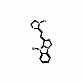 CCN1CCSC1=CC=C1CCn2c1[n+](CC)c1ccccc12